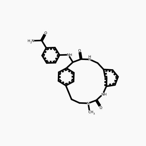 CN1CCc2ccc(cc2)C(Nc2cccc(C(N)=O)c2)C(=O)NCc2cccc(c2)NC1=O